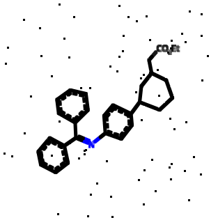 CCOC(=O)CC1CCCC(c2ccc(N=C(c3ccccc3)c3ccccc3)cc2)C1